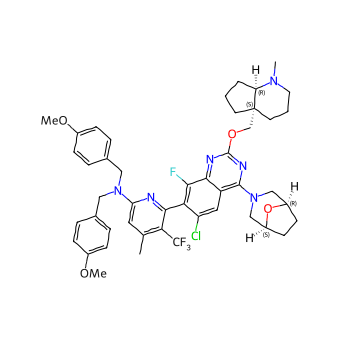 COc1ccc(CN(Cc2ccc(OC)cc2)c2cc(C)c(C(F)(F)F)c(-c3c(Cl)cc4c(N5C[C@H]6CC[C@@H](C5)O6)nc(OC[C@]56CCC[C@H]5N(C)CCC6)nc4c3F)n2)cc1